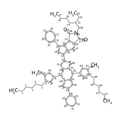 CCCCCCc1sc(-c2c3cc(-c4sc(-c5ccccc5)c5c6c(sc45)C(=O)N(CC(CC)CCCC)C6=O)sc3c(-c3cc(C)c(CCCCCC)s3)c3cc(-c4ccccc4)sc23)cc1C